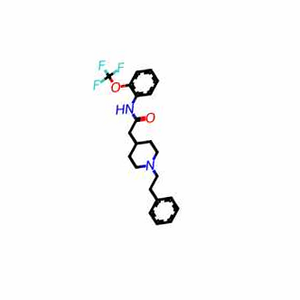 O=C(CC1CCN(CCc2ccccc2)CC1)Nc1ccccc1OC(F)(F)F